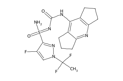 CC(F)(F)n1cc(F)c(S(N)(=O)=NC(=O)Nc2c3c(nc4c2CCC4)CCC3)n1